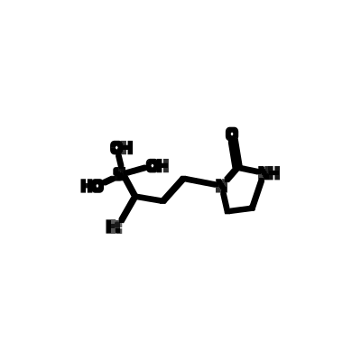 CCC(CCN1CCNC1=O)[Si](O)(O)O